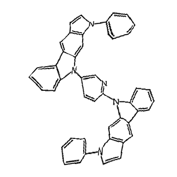 c1ccc(-n2ccc3cc4c5ccccc5n(-c5ccc(-n6c7ccccc7c7cc8ccn(-c9ccccc9)c8cc76)nc5)c4cc32)cc1